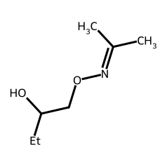 CCC(O)CON=C(C)C